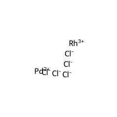 [Cl-].[Cl-].[Cl-].[Cl-].[Cl-].[Pd+2].[Rh+3]